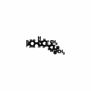 Cc1cc(S(C)(=O)=O)ncc1N1CCc2[nH]c(C3CCC(F)(F)CC3)cc2C1